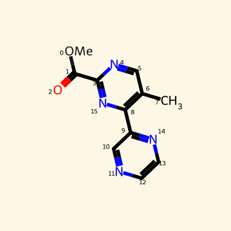 COC(=O)c1ncc(C)c(-c2cnccn2)n1